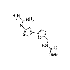 COC(=O)NCc1ccc(-c2csc(N=C(N)N)n2)o1